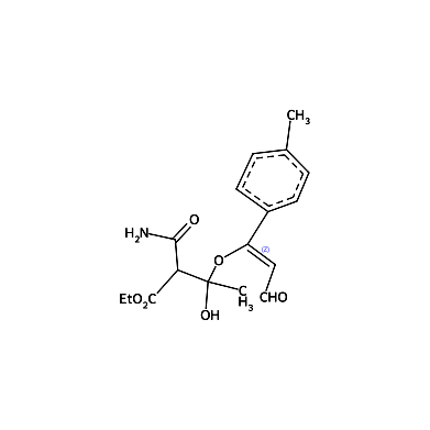 CCOC(=O)C(C(N)=O)C(C)(O)O/C(=C\C=O)c1ccc(C)cc1